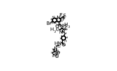 Cc1nn(Cc2ccc(C(=O)NCCN3CC4(CCS4(=O)=O)C3)cc2)c(C)c1NC(=O)c1cc(C(F)(F)F)nc2ccc(Br)cc12